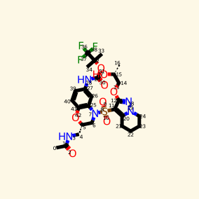 CC(=O)NC[C@H]1CN(S(=O)(=O)c2c(OC[C@@H](C)O)nn3c2CCCC3)c2cc(NC(=O)OC(C)(C)C(F)(F)F)ccc2O1